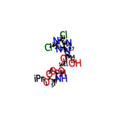 CC(C)OC(=O)[C@H](C)N[PH](=O)OCCO[C@H](CO)n1cnc2c(Cl)nc(Cl)nc21